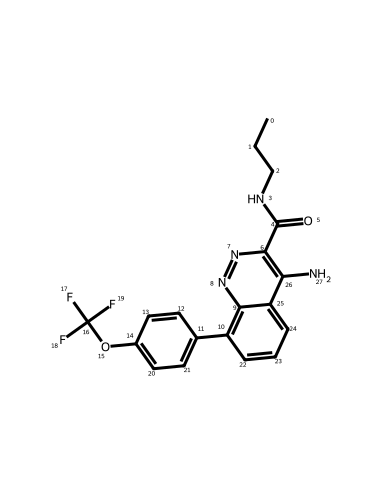 CCCNC(=O)c1nnc2c(-c3ccc(OC(F)(F)F)cc3)cccc2c1N